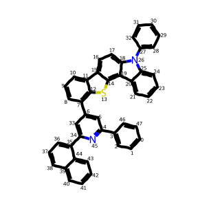 c1ccc(-c2cc(-c3cccc4c3sc3c4ccc4c3c3ccccc3n4-c3ccccc3)cc(-c3cccc4ccccc34)n2)cc1